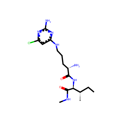 CC[C@H](C)[C@H](NC(=O)[C@@H](N)CCCNc1cc(Cl)nc(N)n1)C(=O)NC